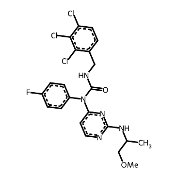 COCC(C)Nc1nccc(N(C(=O)NCc2ccc(Cl)c(Cl)c2Cl)c2ccc(F)cc2)n1